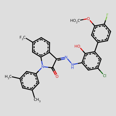 Cc1cc(C)cc(N2C(=O)C(=NNc3cc(Cl)cc(-c4ccc(F)c(OC(=O)O)c4)c3O)c3ccc(C(F)(F)F)cc32)c1